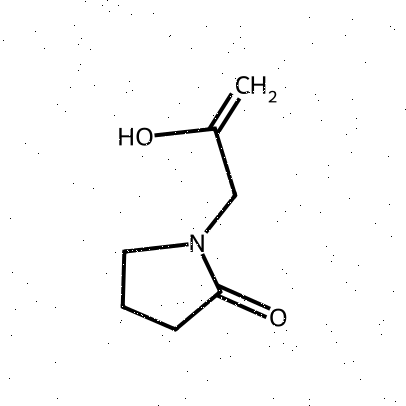 C=C(O)CN1CCCC1=O